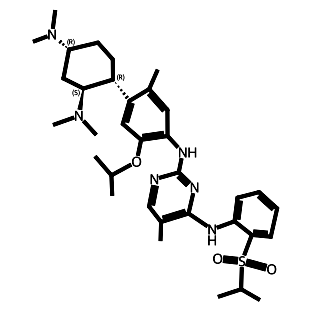 Cc1cc(Nc2ncc(C)c(Nc3ccccc3S(=O)(=O)C(C)C)n2)c(OC(C)C)cc1[C@H]1CC[C@@H](N(C)C)C[C@@H]1N(C)C